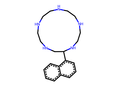 c1ccc2c(C3CNCCNCCNCCNCCN3)cccc2c1